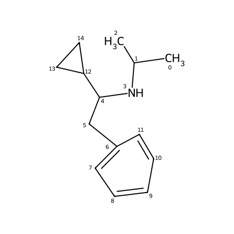 CC(C)NC(Cc1ccccc1)C1CC1